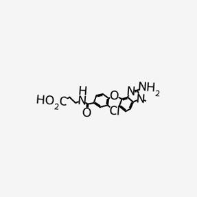 Cn1c(N)nc2c(Oc3ccc(C(=O)NCCC(=O)O)cc3Cl)cccc21